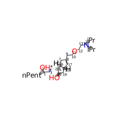 CCCCC[C@H](O)/C=C/[C@@H]1[C@H]2CC(CCOCCN(C(C)C)C(C)C)=C[C@H]2C[C@H]1O